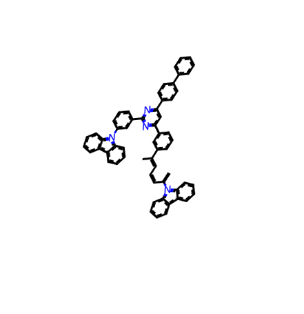 C=C(/C=C\C=C(/C)c1cccc(-c2cc(-c3ccc(-c4ccccc4)cc3)nc(-c3cccc(-n4c5ccccc5c5ccccc54)c3)n2)c1)n1c2ccccc2c2ccccc21